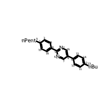 CCCCCc1ccc(-c2ncc(-c3ccc(CCCC)cc3)cn2)cc1